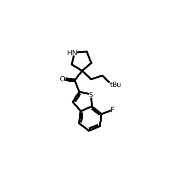 CC(C)(C)CCC1(C(=O)c2cc3cccc(F)c3s2)CCNC1